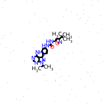 CC(C)n1nc(-c2ccc(NC(=O)Nc3cc(C(C)(C)C)no3)cc2)c2c(N)ncnc21